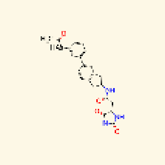 CC(=O)[AsH]c1cccc(-c2ccc3c(c2)CC(NC(=O)CC2NC(=O)NC2=O)C3)c1